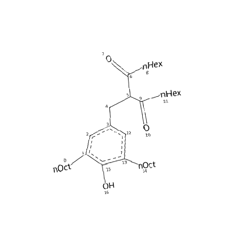 CCCCCCCCc1cc(CC(C(=O)CCCCCC)C(=O)CCCCCC)cc(CCCCCCCC)c1O